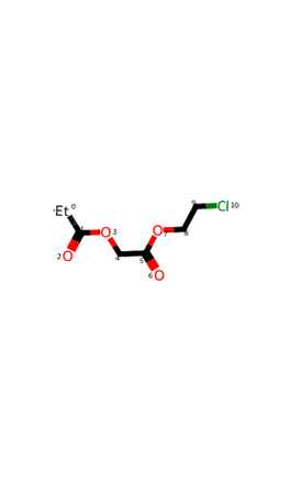 C[CH]C(=O)OCC(=O)OCCCl